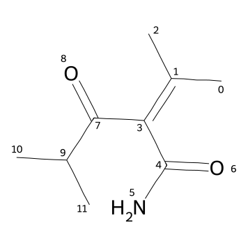 CC(C)=C(C(N)=O)C(=O)C(C)C